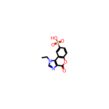 CCn1cnc2c(=O)oc3ccc(S(=O)(=O)O)cc3c21